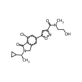 C[C@@H](C1CC1)N1Cc2cc(-c3cc(C(=O)N(C)CCO)no3)cc(Cl)c2C1=O